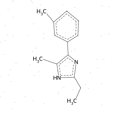 CCc1nc(-c2cccc(C)c2)c(C)[nH]1